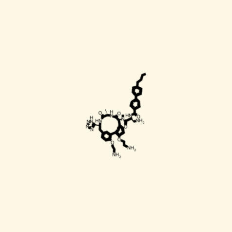 CCCCc1ccc(-c2ccc(C(=O)N[C@@H](CN)C(=O)N(C)[C@@H]3C(=O)N[C@@H](C)C(=O)N[C@H](c4nnn[nH]4)Cc4ccc(OCCN)c(c4)-c4cc3ccc4OCCN)cc2)cc1